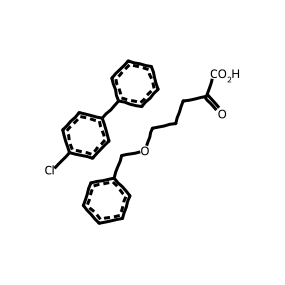 Clc1ccc(-c2ccccc2)cc1.O=C(O)C(=O)CCCOCc1ccccc1